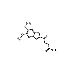 COc1cc2sc(C(=O)CCC(C)=O)cc2nc1OC